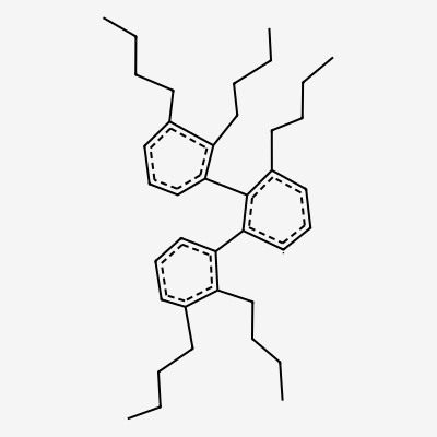 CCCCc1cccc(-c2[c]ccc(CCCC)c2-c2cccc(CCCC)c2CCCC)c1CCCC